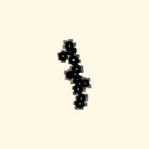 c1ccc(-n2c(-c3ccc(-c4ccc5c(c4)C4(CCCC4)c4cc6c(cc4-5)C4(CCCC4)c4cc(-c5ccc7ccccc7c5)ccc4-6)cc3)nc3ccccc32)cc1